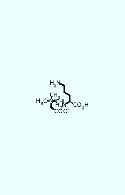 C[N+](C)(C)CC(=O)[O-].NCCC[C@H](N)C(=O)O